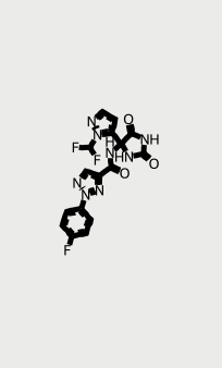 O=C1NC(=O)C(NC(=O)c2cnn(-c3ccc(F)cc3)n2)(c2ccnn2C(F)F)N1